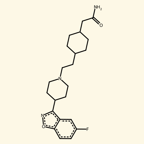 NC(=O)CC1CCC(CCN2CCC(c3noc4ccc(F)cc34)CC2)CC1